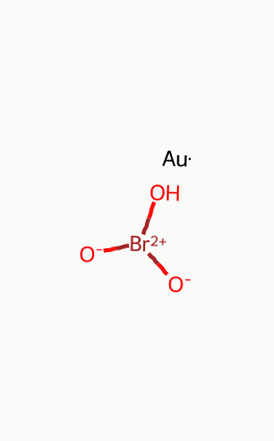 [Au].[O-][Br+2]([O-])O